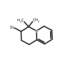 CCC1CCC2=CC=CCN2C1(C)C